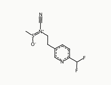 CS([O-])=[N+](C#N)CCc1ccc(C(F)F)nc1